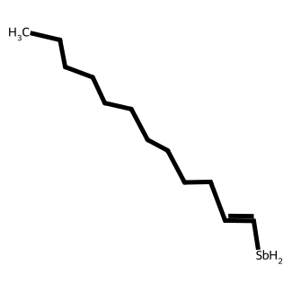 CCCCCCCCCCC=[CH][SbH2]